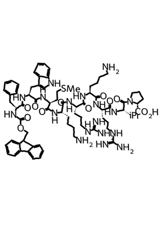 CSCC[C@H](NC(=O)[C@H](Cc1c[nH]c2ccccc12)NC(=O)[C@H](Cc1ccccc1)NC(=O)OCC1c2ccccc2-c2ccccc21)C(=O)N[C@@H](CCCCN)C(=O)N[C@@H](CCCNC(=N)N)C(=O)N[C@@H](CCCCN)C(=O)N[C@@H](CCCNC(=N)N)C(=O)N[C@H](C(=O)N1CCC[C@H]1C(=O)O)C(C)C